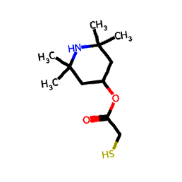 CC1(C)CC(OC(=O)CS)CC(C)(C)N1